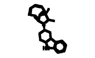 CC1[C@H](C)C2=C\C=C/C=C\C=C\2N1[C@@H]1CCC2Nc3ccccc3C2C1